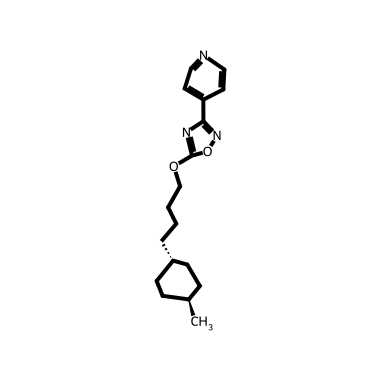 C[C@H]1CC[C@H](CCCCOc2nc(-c3ccncc3)no2)CC1